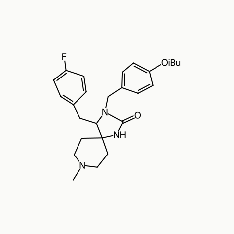 CC(C)COc1ccc(CN2C(=O)NC3(CCN(C)CC3)C2Cc2ccc(F)cc2)cc1